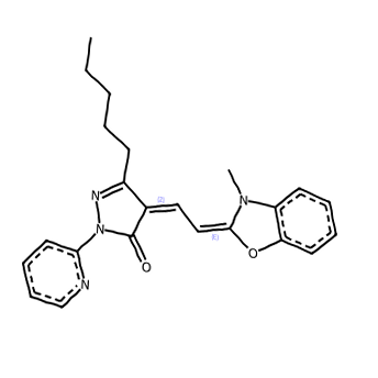 CCCCCC1=NN(c2ccccn2)C(=O)/C1=C\C=C1\Oc2ccccc2N1C